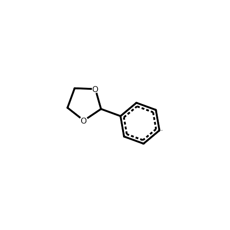 [c]1ccc(C2OCCO2)cc1